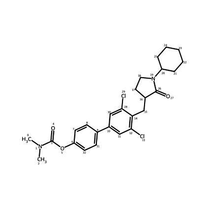 CN(C)C(=O)Oc1ccc(-c2cc(Cl)c(CC3CCN(C4CCCCC4)C3=O)c(Cl)c2)cc1